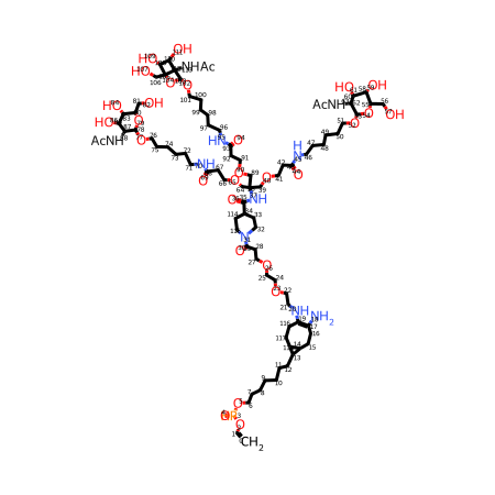 C=CO[PH](=O)OCCCCCCCC1C2CC/C(N)=C(/NCCOCCOCCC(=O)N3CCC(C(=O)NC(COCCC(=O)NCCCCCCOC4OC(CO)C(O)C(O)C4NC(C)=O)(COCCC(=O)NCCCCCCOC4OC(CO)C(O)C(O)C4NC(C)=O)COCCC(=O)NCCCCCCOC4OC5(CO)C(O)C(O)C45NC(C)=O)CC3)CCC12